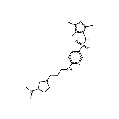 Cc1nn(C)c(C)c1NS(=O)(=O)c1ccc(NCCCN2CCC(N(C)C)C2)nc1